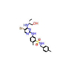 CC[C@H](CO)Nc1nc(Nc2ccc(C)c(S(=O)(=O)NCc3ccc(C)cc3)c2)ncc1Br